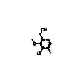 COc1c(CO)ccc(C)c1Cl